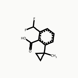 CC1(c2cccc(C(F)F)c2C(=O)O)CC1